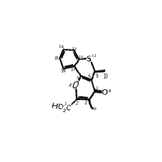 Cc1c(C(=O)O)oc2c(c1=O)C(C)Sc1ccccc1-2